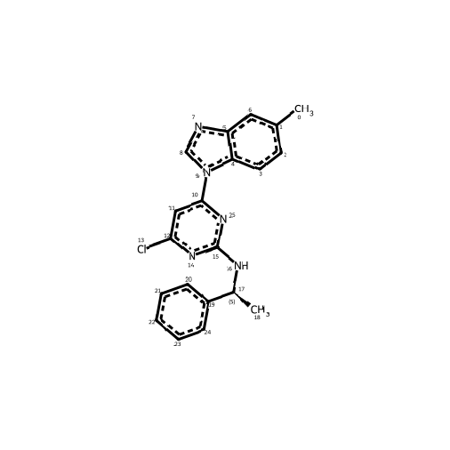 Cc1ccc2c(c1)ncn2-c1cc(Cl)nc(N[C@@H](C)c2ccccc2)n1